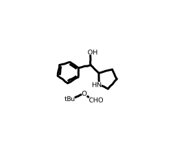 CC(C)(C)OC=O.OC(c1ccccc1)C1CCCN1